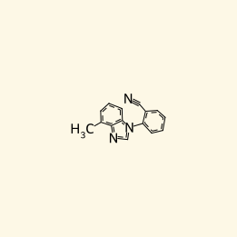 Cc1cccc2c1ncn2-c1ccccc1C#N